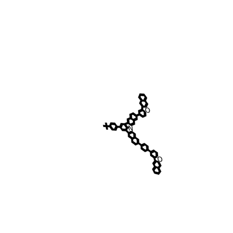 CC(C)(C)c1ccc(-c2cc3c4cc5ccc(-c6ccc(-c7ccc8oc9cc%10ccccc%10cc9c8c7)cc6)cc5cc4n4c5cc6cc(-c7ccc8oc9cc%10ccccc%10cc9c8c7)ccc6cc5c(c2)c34)cc1